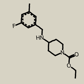 CCOC(=O)N1CCC(NCc2cc(C)cc(F)c2)CC1